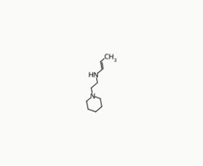 CC=CNCCN1CCCCC1